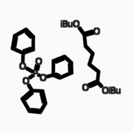 CC(C)COC(=O)CCCCC(=O)OCC(C)C.O=P(Oc1ccccc1)(Oc1ccccc1)Oc1ccccc1